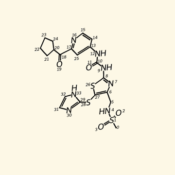 CS(=O)(=O)NCc1nc(NC(=O)Nc2ccnc(C(=O)C3CCCC3)c2)sc1Sc1ncc[nH]1